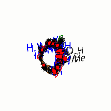 COc1ccc(C[C@@H]2NC(=O)[C@H](CC3=NC=NC3)NC(=O)[C@H](CC(=O)O)NC(=O)[C@H](Cc3c[nH]c4ccc(F)cc34)NC(=O)C(C(c3ccccc3)c3ccccc3)NC(=O)CNC(=O)[C@H](CCCCN)NC(=O)CCSCc3cccc(c3)CSCCNC(=O)[C@]3(C)CCCN3C2=O)cc1